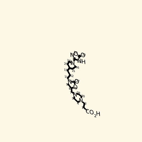 O=C(O)CCN1CCN(CC2CN(CCCC3CCN(c4noc(=O)[nH]4)CC3)C(=O)O2)CC1